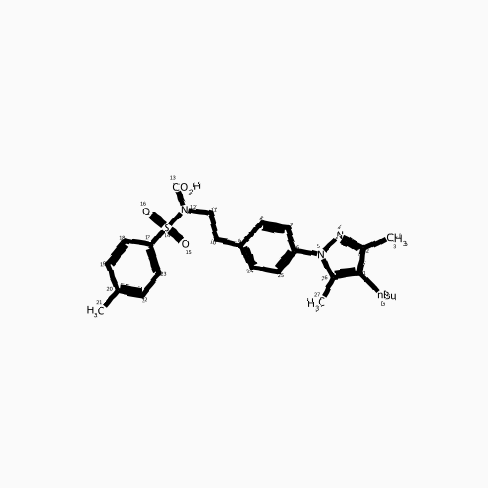 CCCCc1c(C)nn(-c2ccc(CCN(C(=O)O)S(=O)(=O)c3ccc(C)cc3)cc2)c1C